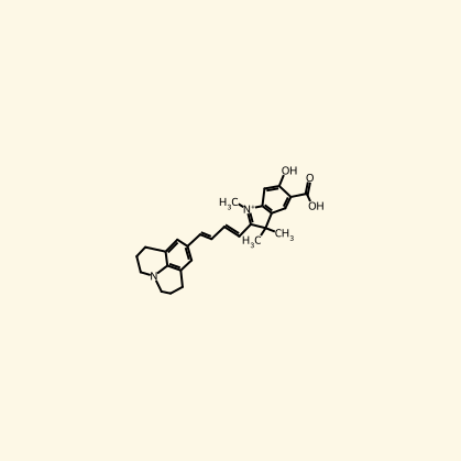 C[N+]1=C(/C=C/C=C/c2cc3c4c(c2)CCCN4CCC3)C(C)(C)c2cc(C(=O)O)c(O)cc21